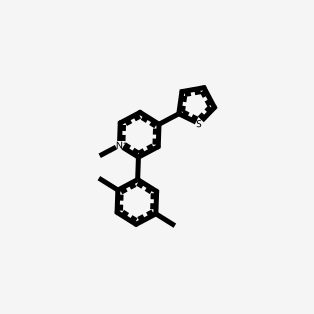 Cc1ccc(C)c(-c2cc(-c3cccs3)cc[n+]2C)c1